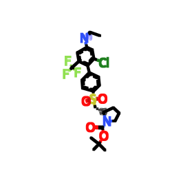 C/C=N\c1cc(Cl)c(-c2ccc(S(=O)(=O)C[C@@H]3CCCN3C(=O)OC(C)(C)C)cc2)c(C(F)(F)F)c1